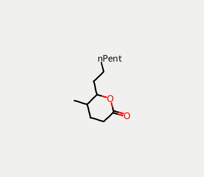 CCCCCCCC1OC(=O)CCC1C